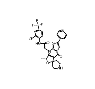 C[C@H]1OC2(CCNCC2)c2c1n(CC(=O)Nc1ccc(C(F)(F)F)cc1Cl)c1nc(-c3ccncc3)nn1c2=O